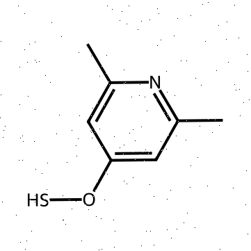 Cc1cc(OS)cc(C)n1